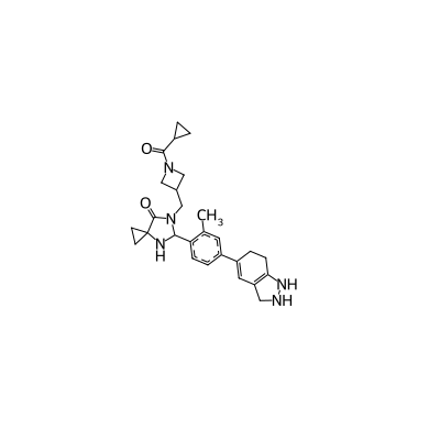 Cc1cc(C2=CC3=C(CC2)NNC3)ccc1C1NC2(CC2)C(=O)N1CC1CN(C(=O)C2CC2)C1